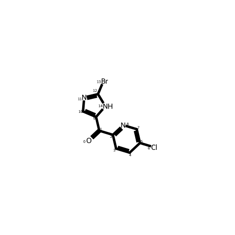 O=C(c1ccc(Cl)cn1)c1cnc(Br)[nH]1